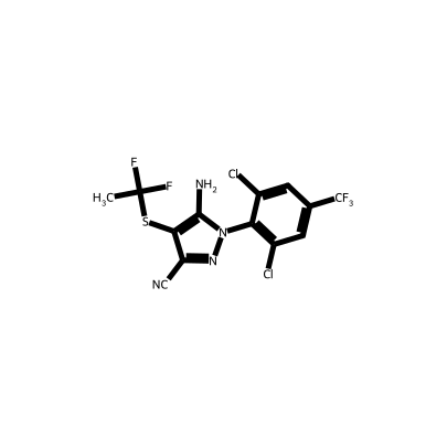 CC(F)(F)Sc1c(C#N)nn(-c2c(Cl)cc(C(F)(F)F)cc2Cl)c1N